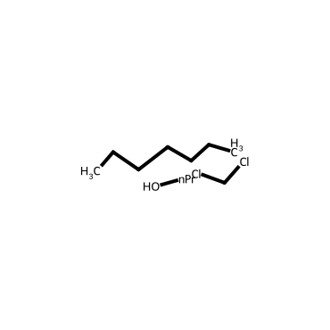 CCCCCCC.CCCO.ClCCl